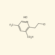 Cl.O=C(O)c1cc(C(F)(F)F)cnc1CCCl